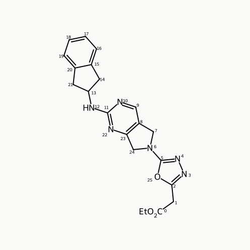 CCOC(=O)Cc1nnc(N2Cc3cnc(NC4Cc5ccccc5C4)nc3C2)o1